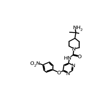 CC(C)(N)C1CCN(C(=O)Nc2cc(Oc3ccc([N+](=O)[O-])cc3)ncn2)CC1